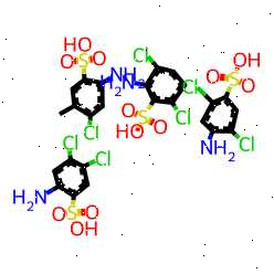 Cc1cc(S(=O)(=O)O)c(N)cc1Cl.Nc1c(Cl)ccc(Cl)c1S(=O)(=O)O.Nc1cc(Cl)c(Cl)cc1S(=O)(=O)O.Nc1cc(Cl)c(S(=O)(=O)O)cc1Cl